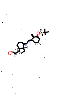 C=C1/C(=C/C=C2\CCC[C@]3(C)[C@@H]([C@H](C)C=O)CC[C@@H]23)C[C@@H](C)C[C@@H]1O[Si](C)(C)C(C)(C)C